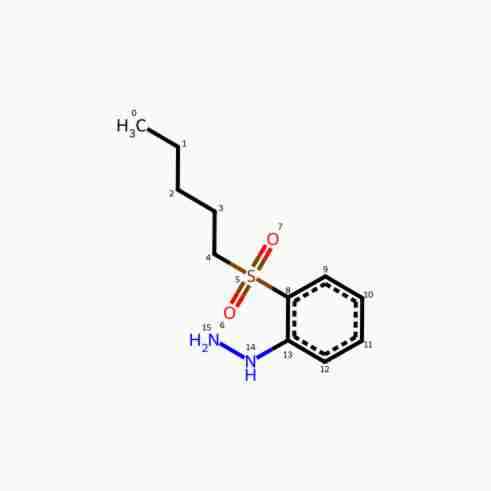 CCCCCS(=O)(=O)c1ccccc1NN